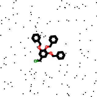 ClCc1cc(OCc2ccccc2)c(OCc2ccccc2)c(OCc2ccccc2)c1